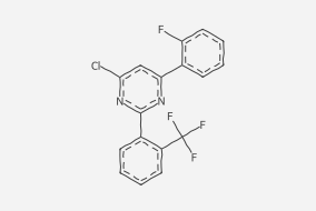 Fc1ccccc1-c1cc(Cl)nc(-c2ccccc2C(F)(F)F)n1